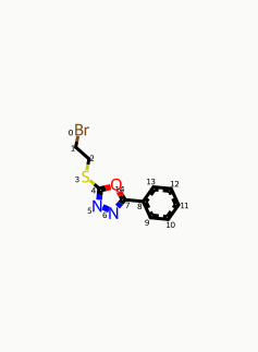 BrCCSc1nnc(-c2ccccc2)o1